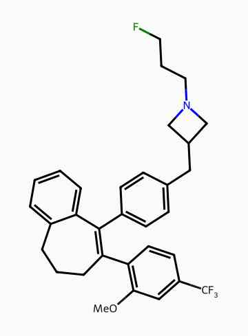 COc1cc(C(F)(F)F)ccc1C1=C(c2ccc(CC3CN(CCCF)C3)cc2)c2ccccc2CCC1